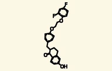 O=C1c2ccc(O)cc2CCC1Cc1ccc(OCCOc2ccc(F)cc2F)cc1